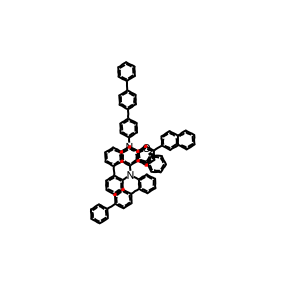 c1ccc(-c2ccc(-c3ccc(N(c4cccc(-c5ccc6ccccc6c5)c4)c4cccc(-c5ccccc5N(c5ccccc5-c5ccc(-c6ccccc6)cc5)c5cccc6oc7ccccc7c56)c4)cc3)cc2)cc1